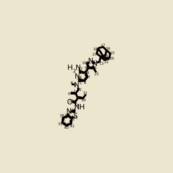 C=C(CN(C)c1ccc(-c2cnn(CC34CC5CC(CC(C5)C3)C4)c2C)c(N)n1)/C(=C\C)C(=O)Nc1nc2ccccc2s1